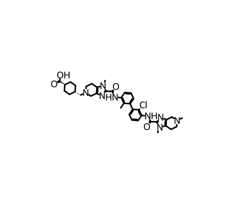 Cc1c(NC(=O)c2nc3c(n2C)CCN(C[C@H]2CC[C@H](C(=O)O)CC2)C3)cccc1-c1cccc(NC(=O)c2nc3c(n2C)CCN(C)C3)c1Cl